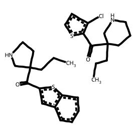 CCCC1(C(=O)c2cc3ccccc3s2)CCNC1.CCCC1(C(=O)c2sccc2Cl)CCCNC1